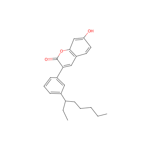 CCCCCC(CC)c1cccc(-c2cc3ccc(O)cc3oc2=O)c1